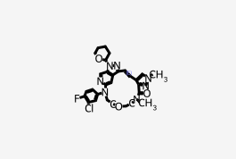 CN1CCOCCN(c2ccc(F)c(Cl)c2)c2cc3c(nn(C4CCCCO4)c3cn2)/C=C/c2cn(C)nc2C1=O